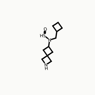 O=[SH]N(CC1CCC1)C1CC2(CNC2)C1